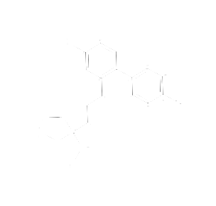 CO[Si](CCCc1cc(O)ccc1-c1ccc(Br)cc1)(OC)OC